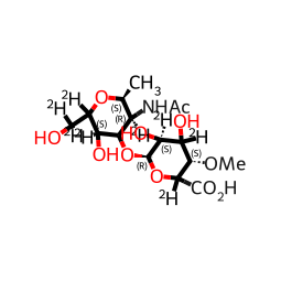 [2H]C1(C(=O)O)O[C@@H](OC2[C@]([2H])(NC(C)=O)[C@H](C)OC([2H])(C([2H])([2H])O)[C@@]2([2H])O)[C@@]([2H])(O)C([2H])(O)[C@@H]1OC